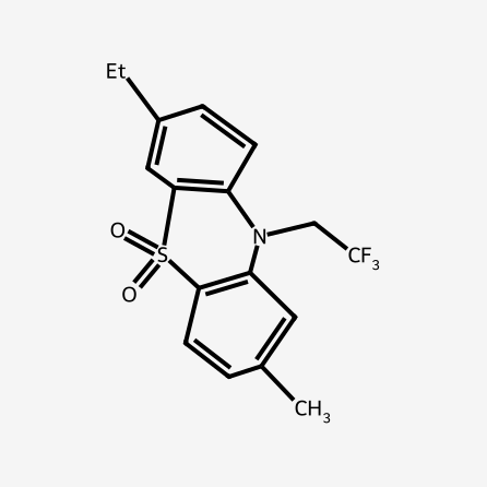 CCc1ccc2c(c1)S(=O)(=O)c1ccc(C)cc1N2CC(F)(F)F